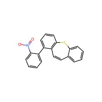 O=[N+]([O-])c1ccccc1-c1cccc2c1C=Cc1ccccc1S2